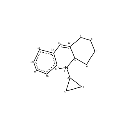 CN(C1CC1)C1CCCC/C1=C/c1ccccc1